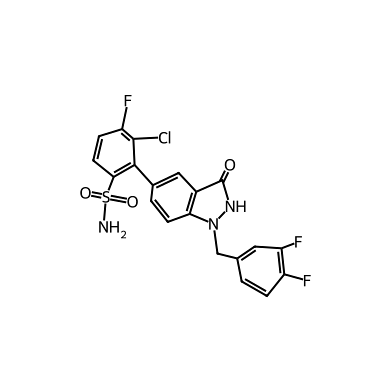 NS(=O)(=O)c1ccc(F)c(Cl)c1-c1ccc2c(c1)c(=O)[nH]n2Cc1ccc(F)c(F)c1